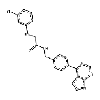 O=C(CNc1cccc(Cl)c1)NCc1ccc(-c2ncnc3[nH]ccc23)cc1